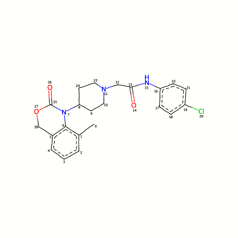 Cc1cccc2c1N(C1CCN(CC(=O)Nc3ccc(Cl)cc3)CC1)C(=O)OC2